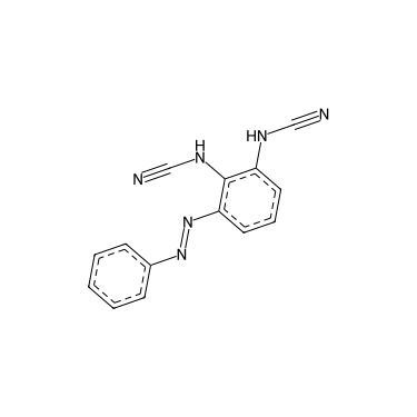 N#CNc1cccc(N=Nc2ccccc2)c1NC#N